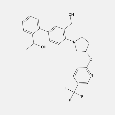 CC(O)c1ccccc1-c1ccc(N2CC[C@H](Oc3ccc(C(F)(F)F)cn3)C2)c(CO)c1